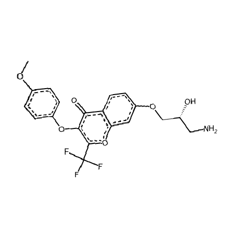 COc1ccc(Oc2c(C(F)(F)F)oc3cc(OC[C@H](O)CN)ccc3c2=O)cc1